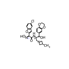 CC1CN(C[C@@H](NC(=O)/C(=N/O)c2cc3cc(Cl)ccc3o2)[C@H](O)c2ccc3c(c2)OCCO3)C1